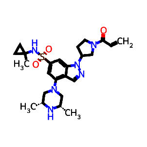 C=CC(=O)N1CCC(n2ncc3c(N4C[C@@H](C)N[C@@H](C)C4)cc(S(=O)(=O)NC4(C)CC4)cc32)C1